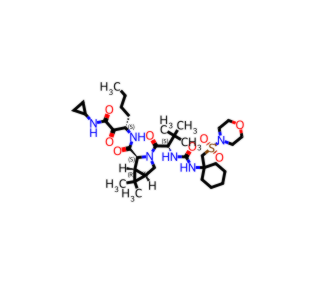 CCCC[C@H](NC(=O)[C@@H]1[C@@H]2[C@H](CN1C(=O)[C@@H](NC(=O)NC1(CS(=O)(=O)N3CCOCC3)CCCCC1)C(C)(C)C)C2(C)C)C(=O)C(=O)NC1CC1